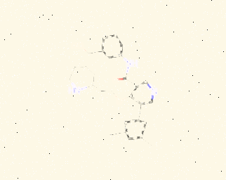 Cc1cc(C)cc(-c2cncc(C(=O)Nc3cccc(CO)c3)c2OCCC2CCCCN2)c1